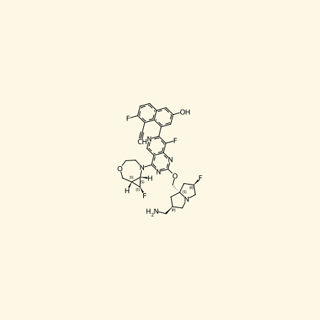 C#Cc1c(F)ccc2cc(O)cc(-c3ncc4c(N5CCOC[C@H]6[C@H](F)[C@H]65)nc(OC[C@]56C[C@@H](F)CN5C[C@@H](CN)C6)nc4c3F)c12